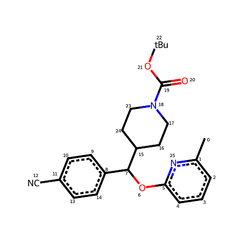 Cc1cccc(OC(c2ccc(C#N)cc2)C2CCN(C(=O)OC(C)(C)C)CC2)n1